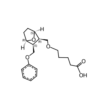 O=C(O)CCCCOC[C@H]1[C@@H](COc2ccccc2)[C@H]2CC[C@@H]1O2